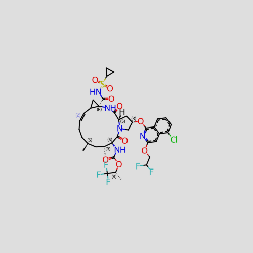 C[C@H]1CC/C=C\C2C[C@@]2(C(=O)NS(=O)(=O)C2CC2)NC(=O)[C@@H]2C[C@@H](Oc3nc(OCC(F)F)cc4c(Cl)cccc34)CN2C(=O)[C@@H](NC(=O)O[C@H](C)C(F)(F)F)[C@H](C)C1